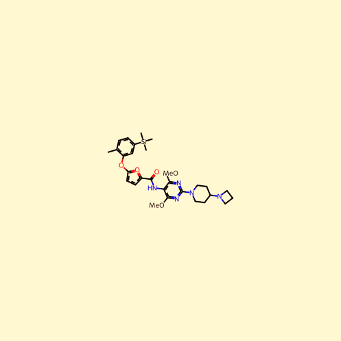 COc1nc(N2CCC(N3CCC3)CC2)nc(OC)c1NC(=O)c1ccc(Oc2cc([Si](C)(C)C)ccc2C)o1